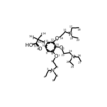 CCN(CC)CCOc1cccc(OCCN(CC)CC)c1OCCN(CC)CC.O=C(O)C(I)(I)I